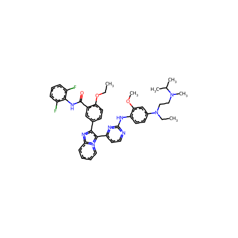 CCOc1ccc(-c2nc3ccccn3c2-c2ccnc(Nc3ccc(N(CC)CCN(C)C(C)C)cc3OC)n2)cc1C(=O)Nc1c(F)cccc1F